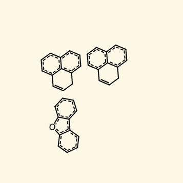 C1=Cc2cccc3cccc(c23)C1.C1=Cc2cccc3cccc(c23)C1.c1ccc2c(c1)oc1ccccc12